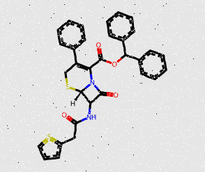 O=C(Cc1cccs1)NC1C(=O)N2C(C(=O)OC(c3ccccc3)c3ccccc3)=C(c3ccccc3)CS[C@@H]12